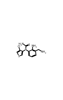 NCc1cccc(N(C(N)=S)c2cscc2Cl)c1N